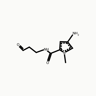 Cn1cc(N)cc1C(=O)NCCC=O